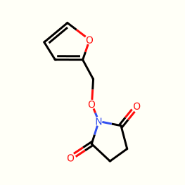 O=C1CCC(=O)N1OCc1ccco1